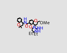 CCC1(CC)CC(=O)N([C@@H]2CC(COC)Oc3ccc(C(=O)N[C@H]4CC(C)(C)Oc5ccccc54)cc32)C(=N)N1